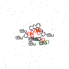 CC(C)(C)c1cc(-c2cc(C(C)(C)C)cc(C(C)(C)C)c2OP2Oc3cccc4cc5cccc(Op6oc7c(C(C)(C)C)cc(C(C)(C)C)cc7c7cc(C(C)(C)C)cc(C(C)(C)C)c7o6)c5c(c34)O2)c(OP(Cl)Cl)c(C(C)(C)C)c1